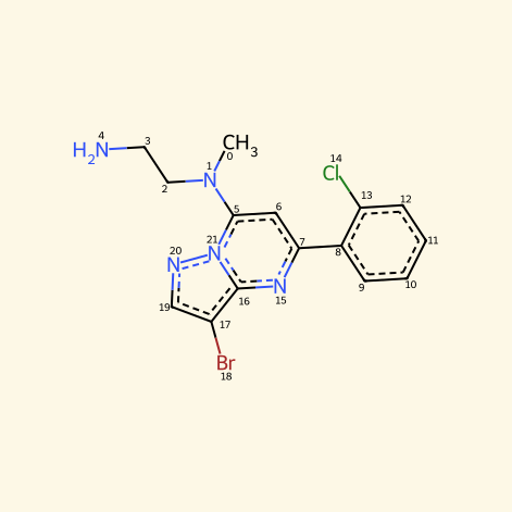 CN(CCN)c1cc(-c2ccccc2Cl)nc2c(Br)cnn12